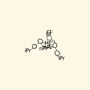 CCCC1=Cc2c(-c3ccc(C(C)C)cc3)cccc2[CH]1[Hf+2]1([CH]2C(CCC)=Cc3c(-c4ccc(C(C)C)cc4)cccc32)[CH]2CCCC[CH]21.[Cl-].[Cl-]